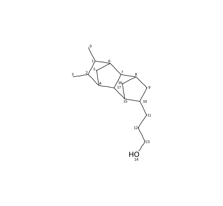 CC1C(C)C2CC1C1C3CC(CCCO)C(C3)C21